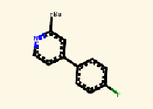 CCCCc1cc(-c2ccc(F)cc2)c[c]n1